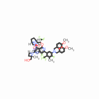 COc1ccc(CN(Cc2ccc(OC)cc2)c2cc(-c3nc4c5c(nc(N6CC[C@@]6(C)CO)nc5c3F)N3C[C@H]5CC[C@@H]([C@H]3[C@H](C(F)F)O4)N5C(=O)OC(C)(C)C)c(C(F)(F)F)c(C)c2F)cc1